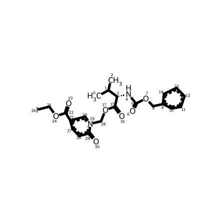 CC(C)[C@H](NC(=O)OCc1ccccc1)C(=O)OCn1cc(C(=O)OCI)ccc1=O